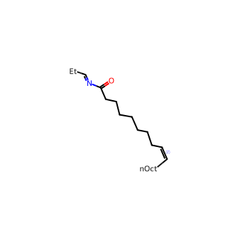 CCC=NC(=O)CCCCCCC/C=C\CCCCCCCC